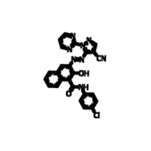 N#Cc1cnn(-c2ncccn2)c1/N=N/c1cc2ccccc2c(C(=O)Nc2ccc(Cl)cc2)c1O